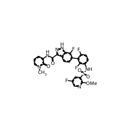 COc1ncc(F)cc1S(=O)(=O)Nc1ccc(F)c(-c2ccc3c(C(=O)Nc4cccn(C)c4=O)n[nH]c3c2F)c1F